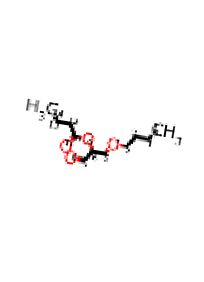 CCCCOCC(C=O)OC(=O)CCC